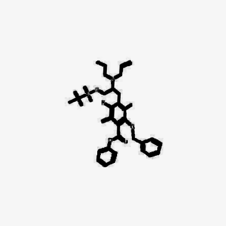 C=CCN(CCC)C(CO[Si](C)(C)C(C)(C)C)Cc1c(C)c(OCc2ccccc2)c(C(=O)Oc2ccccc2)c(C)c1F